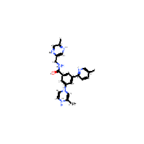 Cc1ccc(-c2cc(C(=O)NCc3cnc(C)cn3)cc(N3C=CNC(C(C)C)=C3)c2)nc1